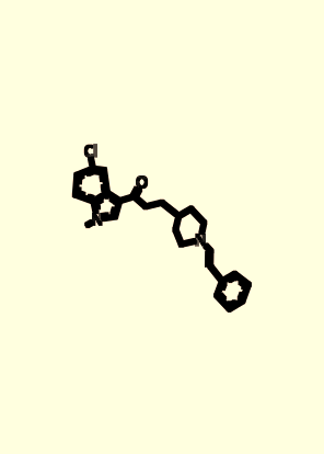 Cn1cc(C(=O)CCC2CCN(C=Cc3ccccc3)CC2)c2cc(Cl)ccc21